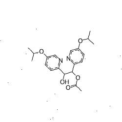 CC(=O)OC(c1ccc(OC(C)C)cn1)C(O)c1ccc(OC(C)C)cn1